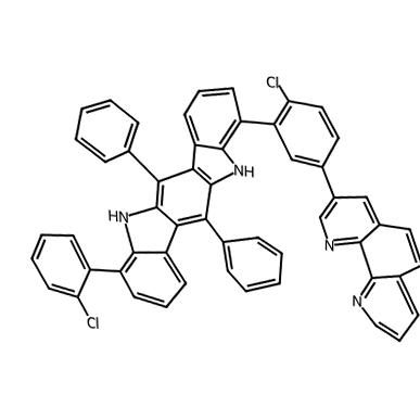 Clc1ccccc1-c1cccc2c1[nH]c1c(-c3ccccc3)c3c([nH]c4c(-c5cc(-c6cnc7c(ccc8cccnc87)c6)ccc5Cl)cccc43)c(-c3ccccc3)c12